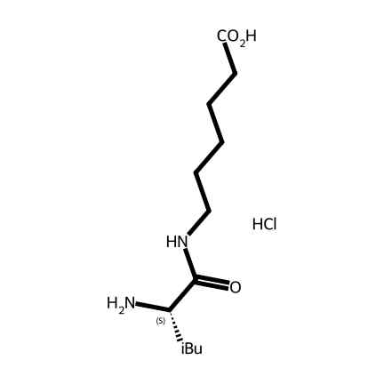 CCC(C)[C@H](N)C(=O)NCCCCCC(=O)O.Cl